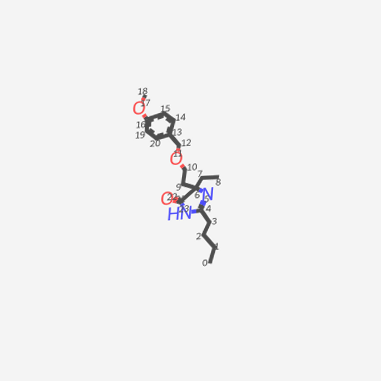 CCCCC1=NC(CC)(CCOCc2ccc(OC)cc2)C(=O)N1